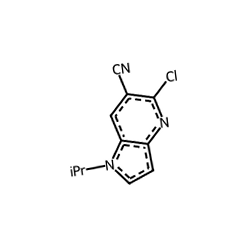 CC(C)n1ccc2nc(Cl)c(C#N)cc21